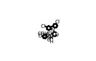 CN=S(=O)(N[C@@H]1COC[C@H](n2c3ccc(Cl)cc3c3cc(Cl)ccc32)[C@H]1O)c1ccc(OC(F)(F)F)cc1